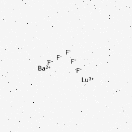 [Ba+2].[F-].[F-].[F-].[F-].[F-].[Lu+3]